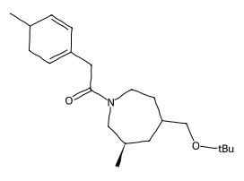 CC1C=CC(CC(=O)N2CCC(COC(C)(C)C)C[C@@H](C)C2)=CC1